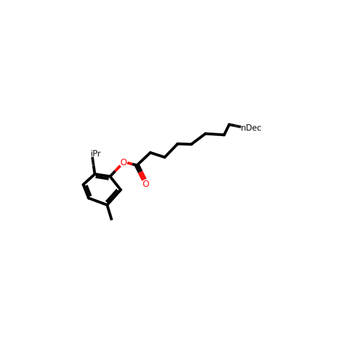 CCCCCCCCCCCCCCCCCC(=O)Oc1cc(C)ccc1C(C)C